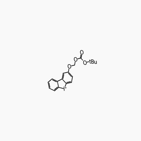 CC(C)(C)OC(=O)OCOc1ccc2c(c1)-c1ccccc1[I+]2